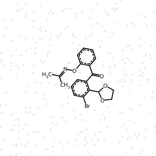 CC(C)=NOc1ccccc1C(=O)c1cccc(Br)c1C1OCCO1